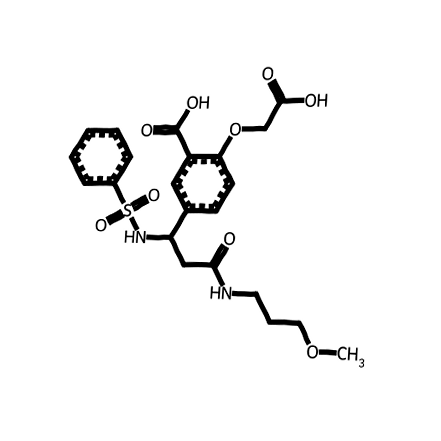 COCCCNC(=O)CC(NS(=O)(=O)c1ccccc1)c1ccc(OCC(=O)O)c(C(=O)O)c1